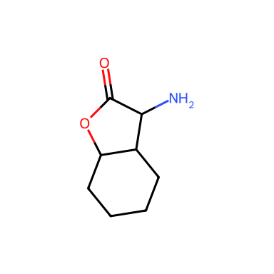 NC1C(=O)OC2CCCCC21